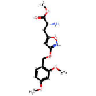 COC(=O)[C@@H](N)Cc1cc(OCc2ccc(OC)cc2OC)no1